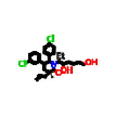 C=CC[C@@]1(C)CC(c2cccc(Cl)c2)C(c2ccc(Cl)cc2)N([C@@H](CC)C(O)CCCCO)C1=O